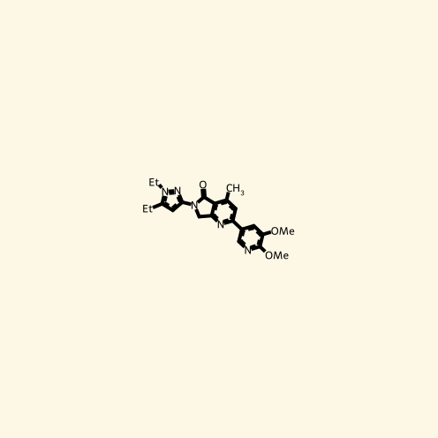 CCc1cc(N2Cc3nc(-c4cnc(OC)c(OC)c4)cc(C)c3C2=O)nn1CC